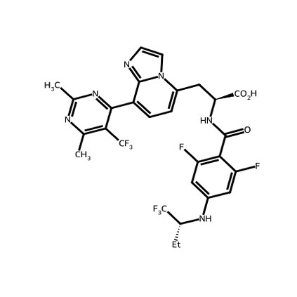 CC[C@@H](Nc1cc(F)c(C(=O)N[C@@H](Cc2ccc(-c3nc(C)nc(C)c3C(F)(F)F)c3nccn23)C(=O)O)c(F)c1)C(F)(F)F